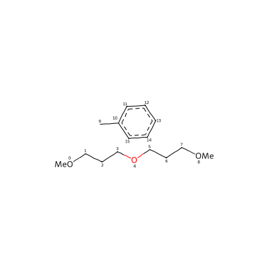 COCCCOCCCOC.Cc1ccccc1